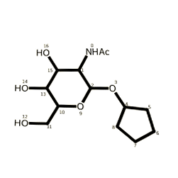 CC(=O)NC1C(OC2CCCC2)OC(CO)C(O)C1O